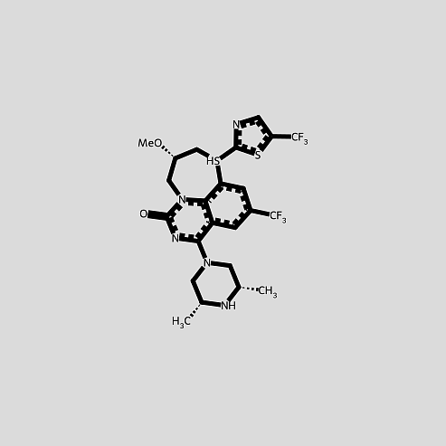 CO[C@H]1Cn2c(=O)nc(N3C[C@@H](C)N[C@@H](C)C3)c3cc(C(F)(F)F)cc(c32)[SH](c2ncc(C(F)(F)F)s2)C1